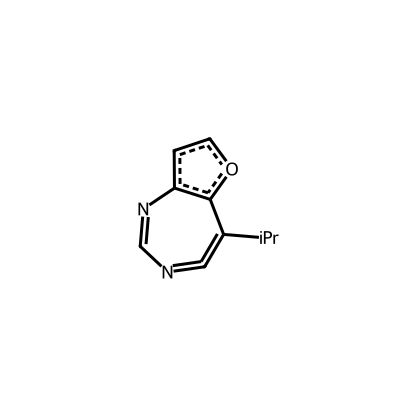 CC(C)C1=C=NC=Nc2ccoc21